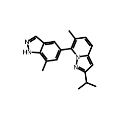 Cc1ccc2cc(C(C)C)nn2c1-c1cc(C)c2[nH]ncc2c1